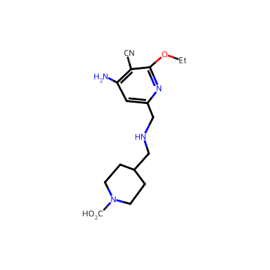 CCOc1nc(CNCC2CCN(C(=O)O)CC2)cc(N)c1C#N